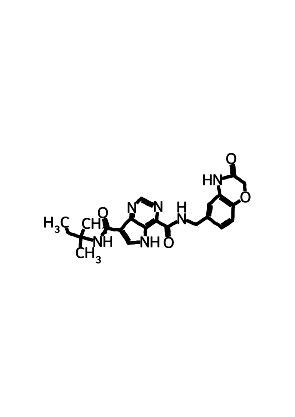 CCC(C)(C)NC(=O)c1c[nH]c2c(C(=O)NCc3ccc4c(c3)NC(=O)CO4)ncnc12